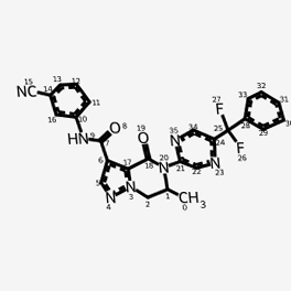 CC1Cn2ncc(C(=O)Nc3cccc(C#N)c3)c2C(=O)N1c1cnc(C(F)(F)c2ccccc2)cn1